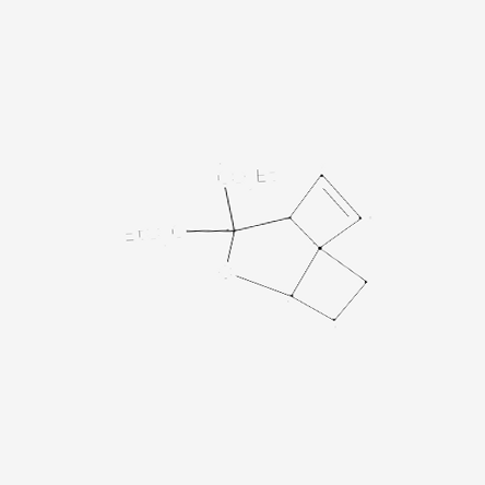 CCOC(=O)C1(C(=O)OCC)OC2CCC23C=CC13